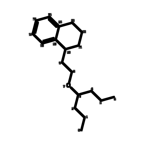 CCC[C](CCC)OCCC1CCCc2ccccc21